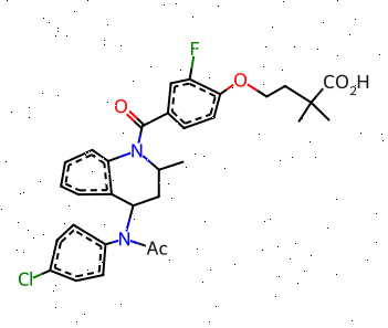 CC(=O)N(c1ccc(Cl)cc1)C1CC(C)N(C(=O)c2ccc(OCCC(C)(C)C(=O)O)c(F)c2)c2ccccc21